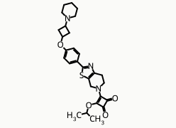 CC(C)Oc1c(N2CCc3nc(-c4ccc(OC5CC(N6CCCCC6)C5)cc4)sc3C2)c(=O)c1=O